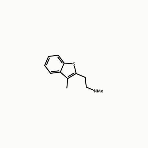 CNCCc1sc2ccccc2c1C